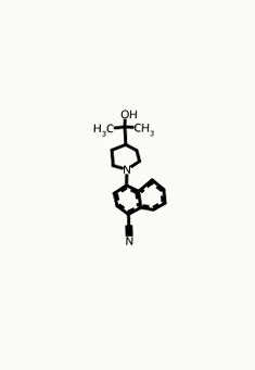 CC(C)(O)C1CCN(c2ccc(C#N)c3ccccc23)CC1